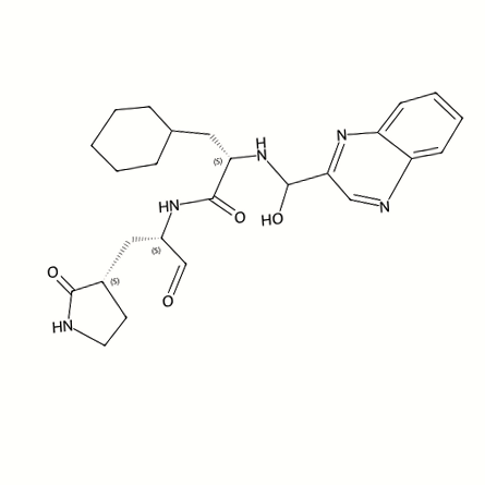 O=C[C@H](C[C@@H]1CCNC1=O)NC(=O)[C@H](CC1CCCCC1)NC(O)c1cnc2ccccc2n1